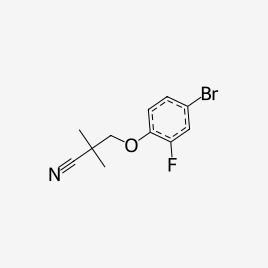 CC(C)(C#N)COc1ccc(Br)cc1F